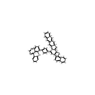 c1ccc2c(c1)Sc1c(-c3ccc(-c4cc5c6ccc7ccccc7c6sc5c5nc6cc7cc8ccccc8cc7cc6n45)cc3)ccc3ncnc-2c13